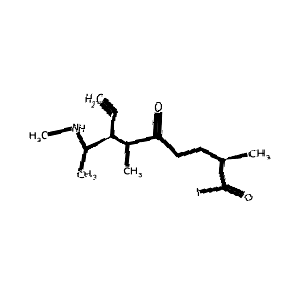 C=C[C@H](C(C)NC)C(C)C(=O)CC[C@@H](C)C(=O)I